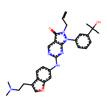 C=CCn1c(=O)c2cnc(Nc3ccc4c(CCN(C)C)coc4c3)nc2n1-c1cccc(C(C)(C)O)c1